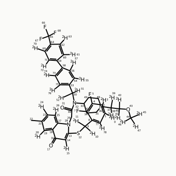 [2H]c1c([2H])c(F)c(F)c(C([2H])([2H])Sc2c([2H])c(=O)c3c([2H])c(C)c([2H])c([2H])c3n2CC(=O)N(C2CCN(C([2H])([2H])C([2H])([2H])OC([2H])([2H])[2H])CC2)C([2H])([2H])c2c([2H])c([2H])c(-c3c([2H])c([2H])c(C(F)(F)F)c([2H])c3[2H])c([2H])c2[2H])c1[2H]